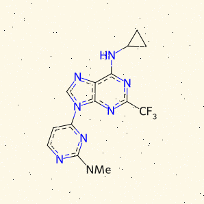 CNc1nccc(-n2cnc3c(NC4CC4)nc(C(F)(F)F)nc32)n1